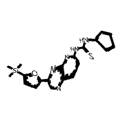 C[Si](C)(C)c1ccc(-c2cnc3ccc(NC(=S)NC4CCCC4)nc3n2)o1